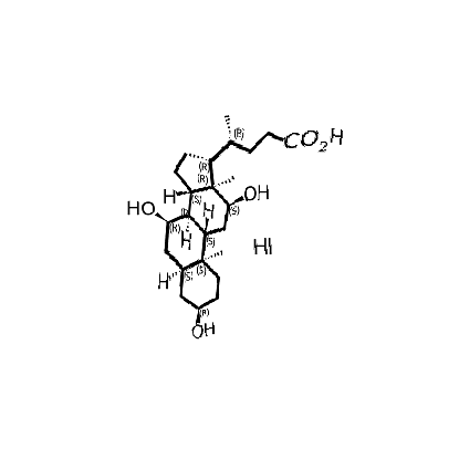 C[C@H](CCC(=O)O)[C@H]1CC[C@H]2[C@@H]3[C@H](O)C[C@@H]4C[C@H](O)CC[C@]4(C)[C@H]3C[C@H](O)[C@]12C.I